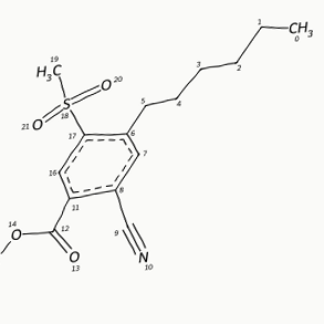 CCCCCCc1cc(C#N)c(C(=O)OC)cc1S(C)(=O)=O